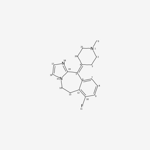 CN1CCC(=C2c3cccc(F)c3CCn3ccnc32)CC1